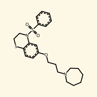 O=S(=O)(c1ccccc1)N1CCSc2ccc(OCCCN3CCCCCC3)cc21